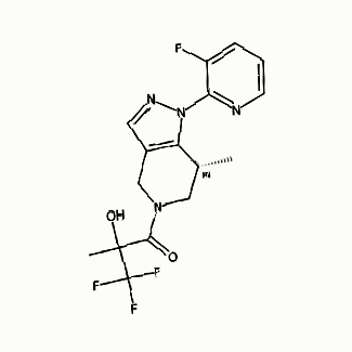 C[C@@H]1CN(C(=O)C(C)(O)C(F)(F)F)Cc2cnn(-c3ncccc3F)c21